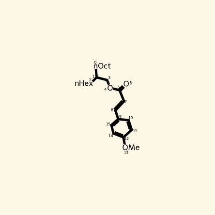 CCCCCCCCC(CCCCCC)COC(=O)C=Cc1ccc(OC)cc1